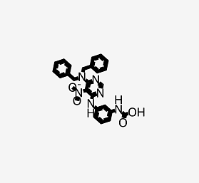 O=C(O)Nc1cccc(Nc2ncnc(N(Cc3ccccc3)Cc3ccccc3)c2[N+](=O)[O-])c1